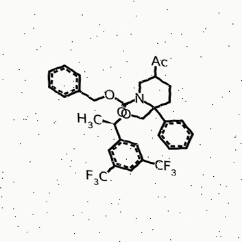 CC(=O)C1CCC(CO[C@H](C)c2cc(C(F)(F)F)cc(C(F)(F)F)c2)(c2ccccc2)N(C(=O)OCc2ccccc2)C1